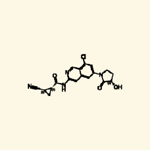 N#C[C@@H]1C[C@H]1C(=O)Nc1cc2cc(N3CC[C@@H](O)C3=O)cc(Cl)c2cn1